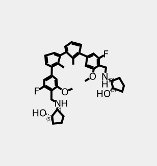 COc1cc(-c2cccc(-c3cccc(-c4cc(F)c(CN[C@@H]5CCC[C@@H]5O)c(OC)c4)c3C)c2C)cc(F)c1CN[C@@H]1CCC[C@@H]1O